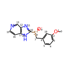 COc1cccc(C[S@+]([O-])c2nc3cnccc3[nH]2)c1